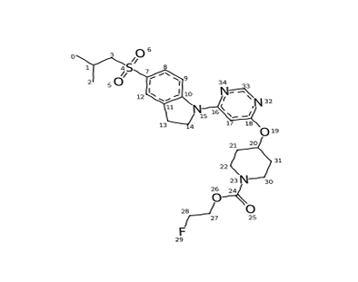 CC(C)CS(=O)(=O)c1ccc2c(c1)CCN2c1cc(OC2CCN(C(=O)OCCF)CC2)ncn1